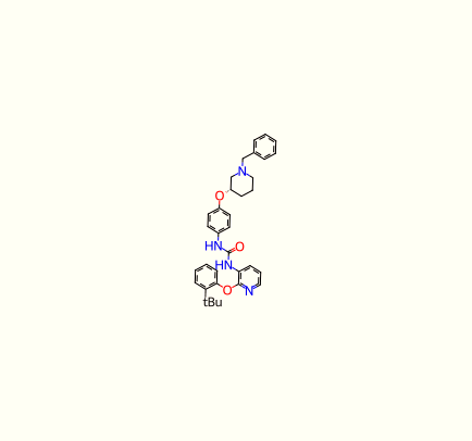 CC(C)(C)c1ccccc1Oc1ncccc1NC(=O)Nc1ccc(O[C@H]2CCCN(Cc3ccccc3)C2)cc1